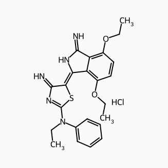 CCOc1ccc(OCC)c2c1C(=N)NC2=C1SC(N(CC)c2ccccc2)=NC1=N.Cl